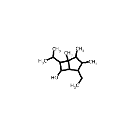 CCC1C(C)C(C)C2(C)C(C(C)C)C(O)C12